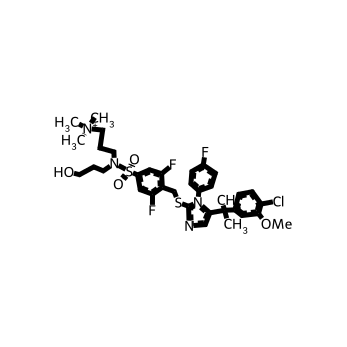 COc1cc(C(C)(C)c2cnc(SCc3c(F)cc(S(=O)(=O)N(CCCO)CCC[N+](C)(C)C)cc3F)n2-c2ccc(F)cc2)ccc1Cl